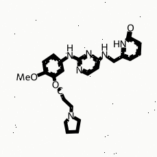 COc1ccc(Nc2nccc(NCc3cccc(=O)[nH]3)n2)cc1OCCCN1CCCC1